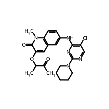 CC(=O)C(C)Oc1cc2cc(Nc3nc(N4CCCCC4)ncc3Cl)ccc2n(C)c1=O